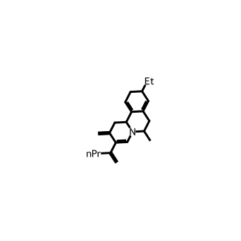 C=C(CCC)C1=CN2C(C)CC3=CC(CC)CC=C3C2CC1=C